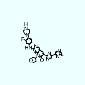 Cn1ncc(-c2cn(C)c(-c3cc4cnc(Nc5ccc(N6CCNCC6)c(F)c5)nc4n(C4CCOC4)c3=O)n2)n1